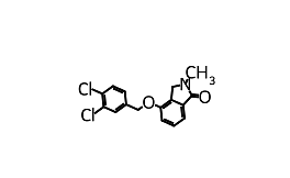 CN1Cc2c(OCc3ccc(Cl)c(Cl)c3)cccc2C1=O